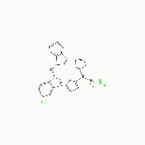 C1=C[CH]([Zr][CH]2C=Cc3ccccc32)c2ccccc21.CC[SiH2][Ti]([C]1=CC=CC1)[C]1=CC=CC1.Cl.Cl.Cl.Cl